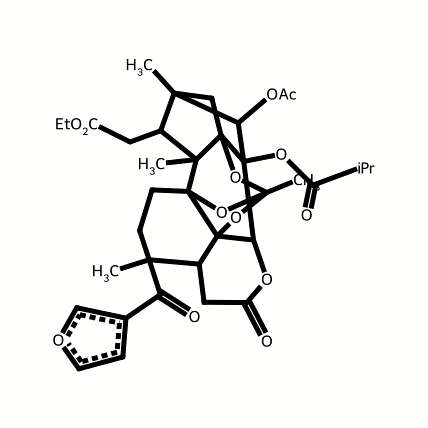 CCOC(=O)CC1C2(C)CC34OC5(C)OC67C(CC(=O)OC6C3(OC(=O)C(C)C)C2OC(C)=O)C(C)(C(=O)c2ccoc2)CCC7(O5)C14C